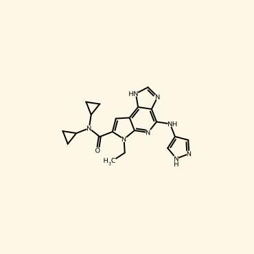 CCn1c(C(=O)N(C2CC2)C2CC2)cc2c3[nH]cnc3c(Nc3cn[nH]c3)nc21